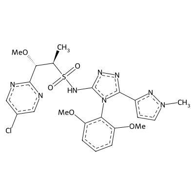 COc1cccc(OC)c1-n1c(NS(=O)(=O)[C@H](C)[C@@H](OC)c2ncc(Cl)cn2)nnc1-c1ccn(C)n1